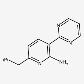 CC(C)Cc1ccc(-c2ncccn2)c(N)n1